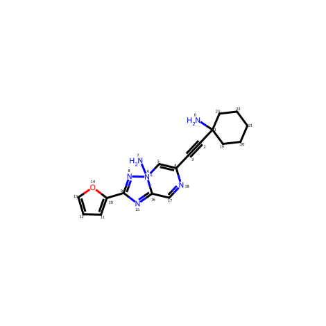 NC1(C#CC2=C[N+]3(N)N=C(c4ccco4)N=C3C=N2)CCCCC1